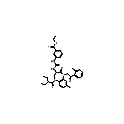 CCOC(=O)c1cccc(NC(=O)NC2CN(C(=O)C(CC)CC)c3ccc(C)cc3N(CC(=O)c3ccccc3C)C2=O)c1